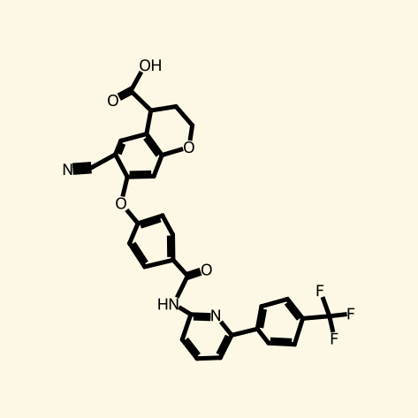 N#Cc1cc2c(cc1Oc1ccc(C(=O)Nc3cccc(-c4ccc(C(F)(F)F)cc4)n3)cc1)OCCC2C(=O)O